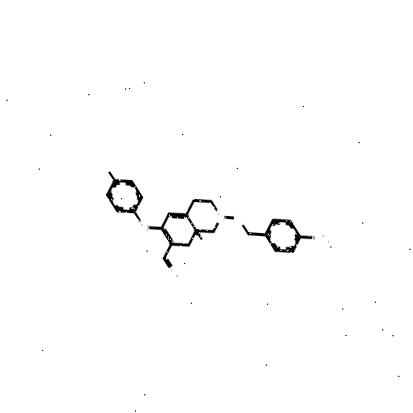 N#Cc1ccc(CSN2CCC3=CC(Nc4ccc(F)cc4)=C(C=N)CC3(C=O)C2)cc1